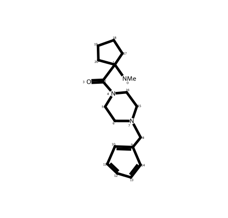 CNC1(C(=O)N2CCN(Cc3ccccc3)CC2)CCCC1